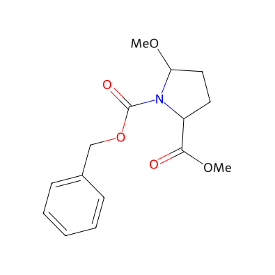 COC(=O)C1CCC(OC)N1C(=O)OCc1ccccc1